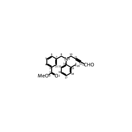 COC(=O)c1cccc(CN(CC#CC=O)c2ccccc2I)c1